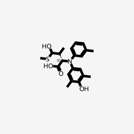 CSC(O)C(C)[C@@H](C(=O)O)N(c1cccc(C)c1)c1cc(C)c(O)c(C)c1